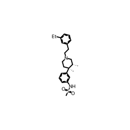 CCc1cccc(CCN2CC[C@](C)(c3cccc(NS(C)(=O)=O)c3)[C@@H](C)C2)c1